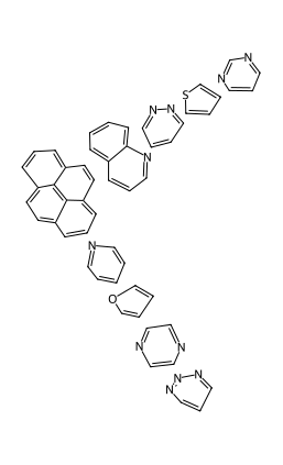 c1cc2ccc3cccc4ccc(c1)c2c34.c1ccc2ncccc2c1.c1ccncc1.c1ccnnc1.c1ccoc1.c1ccsc1.c1cnccn1.c1cncnc1.c1cnnnc1